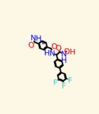 NC(=O)c1ccc(C(=O)NC(C(=O)NO)c2ccc(-c3cc(F)c(F)c(F)c3)cc2)cc1